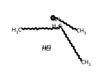 CCCCCCCCCCCCCCCCCCCCCCCN(C)CCCCCCCCCCCCCCCCCCCCCCC.CCCCCCCCCCCCCNCc1ccccc1.Cl.Cl